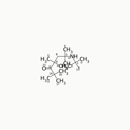 CC(C)(I)NC(C)(C)CC(C)(C)C(=O)C(C)(C)C